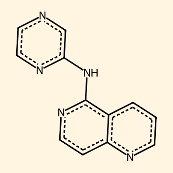 c1cnc2ccnc(Nc3cnccn3)c2c1